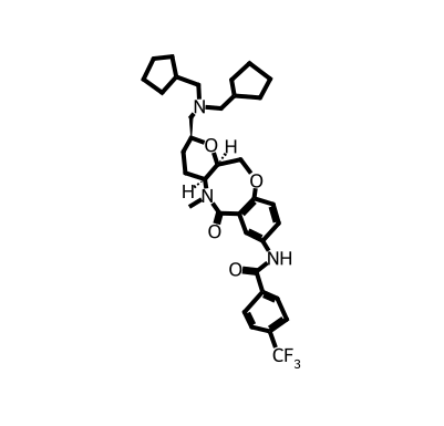 CN1C(=O)c2cc(NC(=O)c3ccc(C(F)(F)F)cc3)ccc2OC[C@@H]2O[C@H](CN(CC3CCCC3)CC3CCCC3)CC[C@@H]21